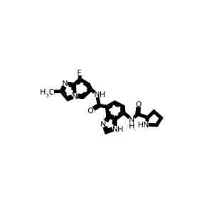 Cc1cn2cc(NC(=O)c3ccc(NC(=O)C4CCCN4)c4[nH]cnc34)cc(F)c2n1